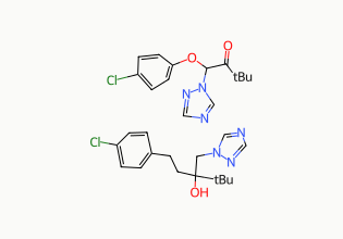 CC(C)(C)C(=O)C(Oc1ccc(Cl)cc1)n1cncn1.CC(C)(C)C(O)(CCc1ccc(Cl)cc1)Cn1cncn1